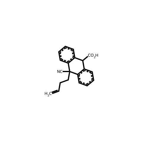 C=CCCC1(C#N)c2ccccc2C(C(=O)O)c2ccccc21